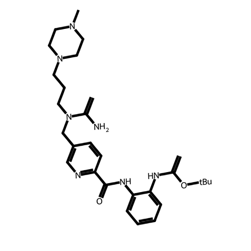 C=C(Nc1ccccc1NC(=O)c1ccc(CN(CCCN2CCN(C)CC2)C(=C)N)cn1)OC(C)(C)C